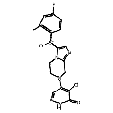 Cc1cc(F)ccc1[S+]([O-])c1cnc2n1CCN(c1cn[nH]c(=O)c1Cl)C2